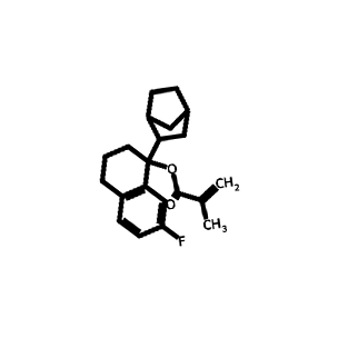 C=C(C)C(=O)OC1(C2CC3CCC2C3)CCCc2ccc(F)cc21